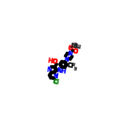 CC(C)(C)OC(=O)N1CCN(c2ccc(Nc3c(CO)cnc4ccc(Cl)nc34)cc2C(F)(F)F)CC1